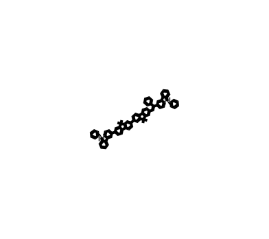 CC1(C)c2cc(/C=C(\c3ccccc3)c3ccc4c(c3)c3ccccc3n4-c3ccccc3)ccc2-c2ccc(-c3ccc4c(c3)C(C)(C)c3cc(-c5ccc6c(c5)c5ccccc5n6-c5ccccc5)ccc3-4)cc21